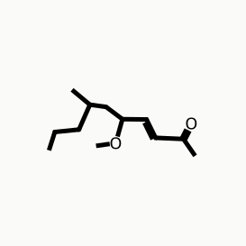 CCCC(C)CC(/C=C/C(C)=O)OC